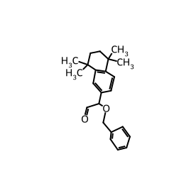 CC1(C)CCC(C)(C)c2cc(C(C=O)OCc3ccccc3)ccc21